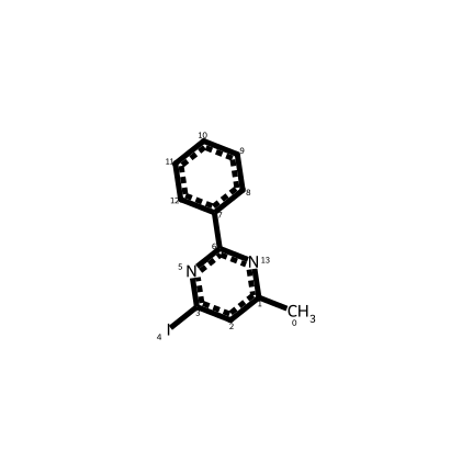 Cc1cc(I)nc(-c2ccccc2)n1